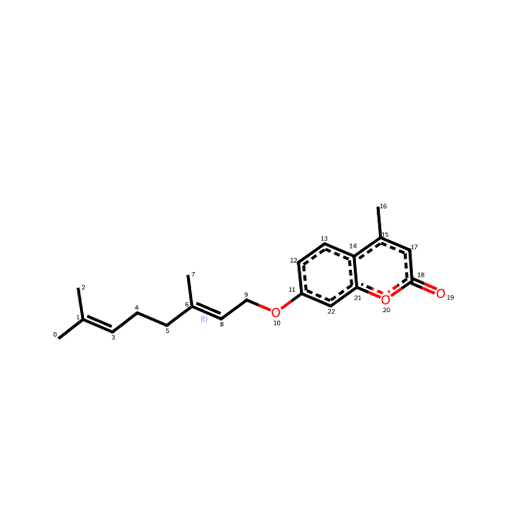 CC(C)=CCC/C(C)=C/COc1ccc2c(C)cc(=O)oc2c1